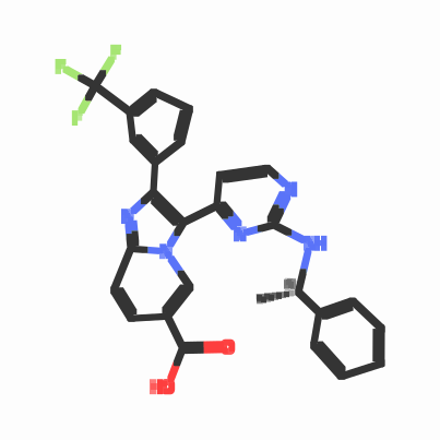 C[C@H](Nc1nccc(-c2c(-c3cccc(C(F)(F)F)c3)nc3ccc(C(=O)O)cn23)n1)c1ccccc1